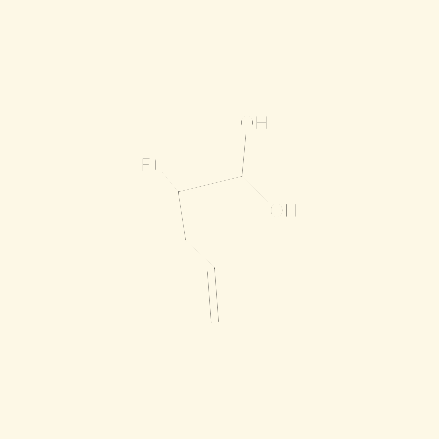 C=CCC(CC)C(O)O